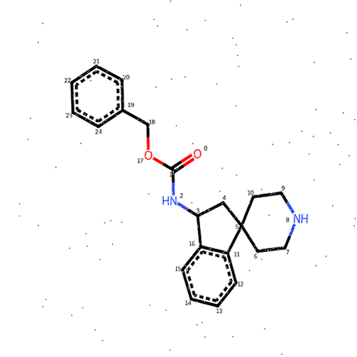 O=C(NC1CC2(CCNCC2)c2ccccc21)OCc1ccccc1